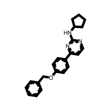 c1ccc(COc2ccc(-c3ccnc(NC4CCCC4)n3)cc2)cc1